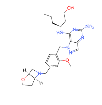 CCC[C@@H](CCO)Nc1nc(N)nc2cnn(Cc3ccc(CN4C[C@@H]5OCC[C@@H]54)cc3OC)c12